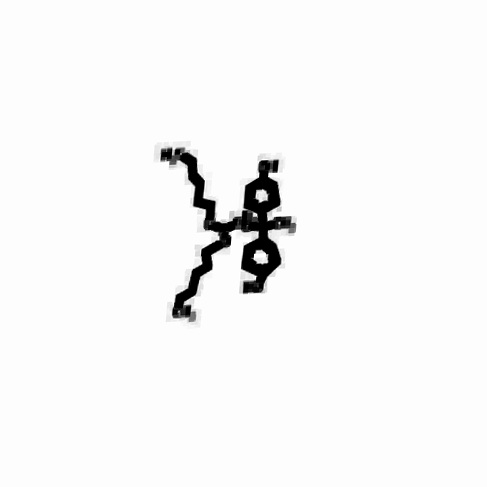 CC(C)(c1ccc(O)cc1)c1ccc(O)cc1.CCCCCCOP(O)OCCCCCC